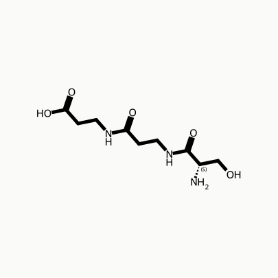 N[C@@H](CO)C(=O)NCCC(=O)NCCC(=O)O